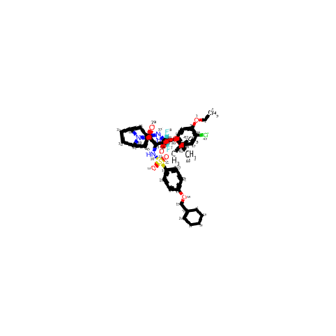 CCOc1cc(C(F)(F)C(NS(=O)(=O)c2ccc(OCC3CCCCC3)cc2)C(=O)N2C3CCC2CC(NC(=O)OC(C)(C)C)C3)ccc1Cl